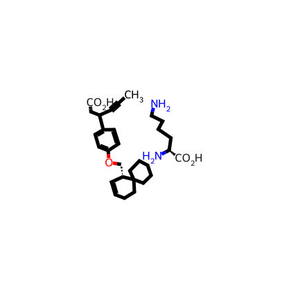 CC#CC(CC(=O)O)c1ccc(OC[C@H]2C=CCCC23CCCCC3)cc1.NCCCC[C@H](N)C(=O)O